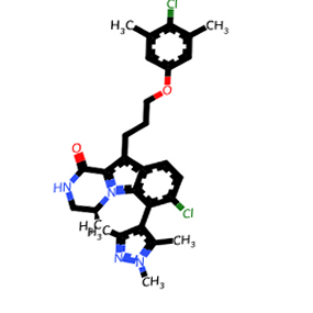 Cc1cc(OCCCc2c3n(c4c(-c5c(C)nn(C)c5C)c(Cl)ccc24)[C@@H](C)CNC3=O)cc(C)c1Cl